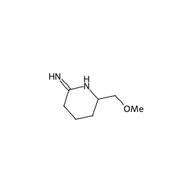 COCC1CCCC(=N)N1